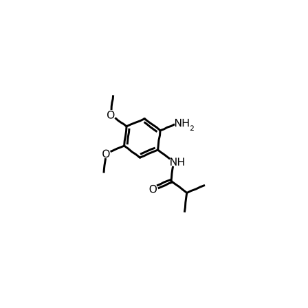 COc1cc(N)c(NC(=O)C(C)C)cc1OC